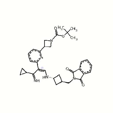 CC(C)(C)OC(=O)N1CC(c2cccc(/C(=C/N[C@H]3C[C@H](CN4C(=O)c5ccccc5C4=O)C3)C(=N)C3CC3)n2)C1